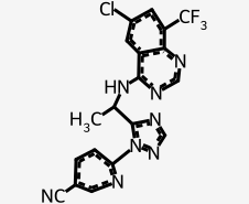 CC(Nc1ncnc2c(C(F)(F)F)cc(Cl)cc12)c1ncnn1-c1ccc(C#N)cn1